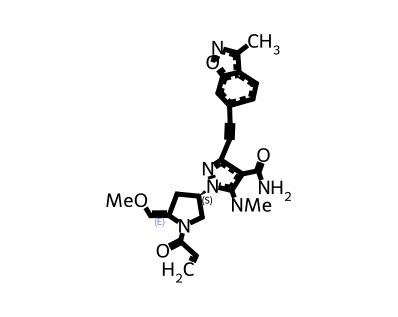 C=CC(=O)N1C[C@@H](n2nc(C#Cc3ccc4c(C)noc4c3)c(C(N)=O)c2NC)C/C1=C\OC